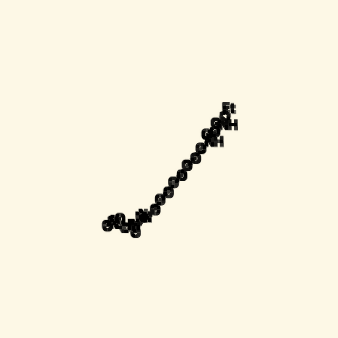 CCc1ccc(NC(=O)COCC(=O)NCCOCCOCCOCCOCCOCCOCCOCCOCCn2cc(CNC(=O)C3CCC(CN4C(=O)C=CC4=O)CC3)nn2)cc1